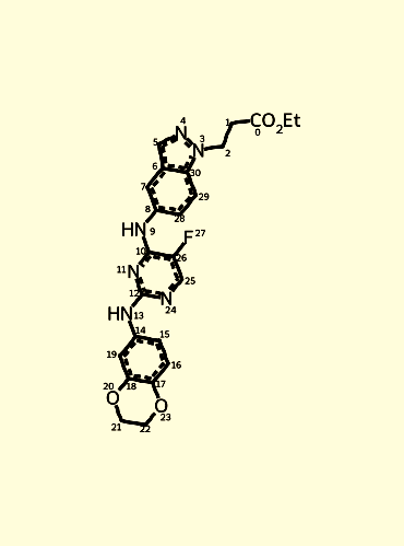 CCOC(=O)CCn1ncc2cc(Nc3nc(Nc4ccc5c(c4)OCCO5)ncc3F)ccc21